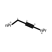 C[CH]CCC#CCCC